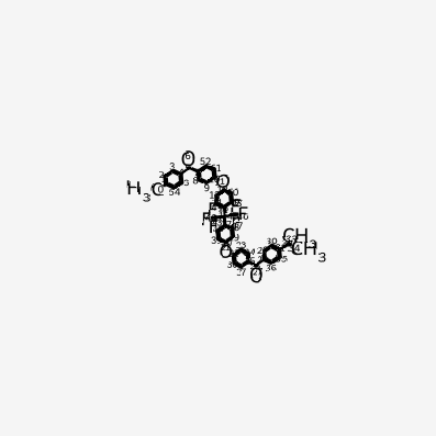 Cc1ccc(C(=O)c2ccc(Oc3ccc(C(c4ccc(Oc5ccc(C(=O)c6ccc(C(C)C)cc6)cc5)cc4)(C(F)(F)F)C(F)(F)F)cc3)cc2)cc1